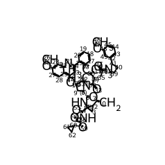 C=CC1C[C@]1(NC(=O)[C@@H]1C[C@@H](Oc2cc(-c3ccccc3)nc3cc(OC)ccc23)CN1C(=O)[C@@H](CC(=O)N1CCC1c1cccc(OC)c1)C(C)(C)C)C(=O)NS(=O)(=O)C1CC1